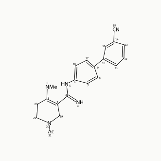 CNC1=C(C(=N)Nc2ccc(-c3cccc(C#N)c3)cc2)CN(C(C)=O)CC1